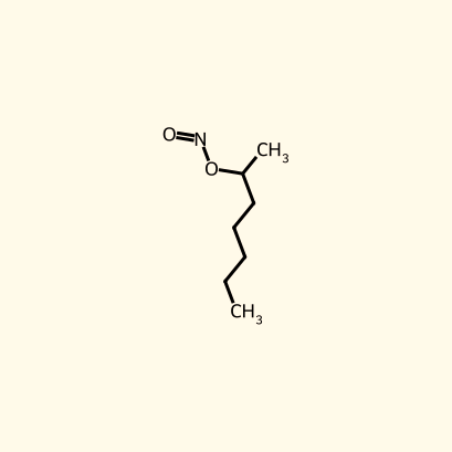 CCCCCC(C)ON=O